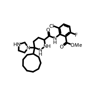 COC(=O)c1c(F)ccc(Cl)c1NC(=O)C1CCC(C2CCCCCCCC2)(N2CCNC2)NN1